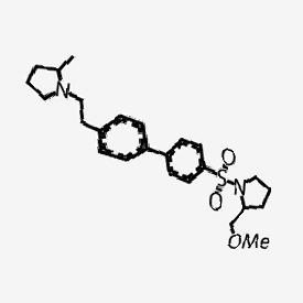 COCC1CCCN1S(=O)(=O)c1ccc(-c2ccc(CCN3CCCC3C)cc2)cc1